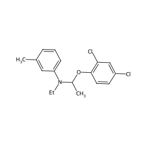 CCN(c1cccc(C)c1)C(C)Oc1ccc(Cl)cc1Cl